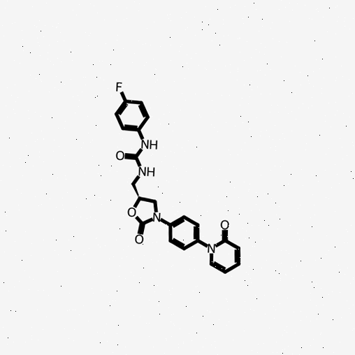 O=C(NC[C@H]1CN(c2ccc(-n3ccccc3=O)cc2)C(=O)O1)Nc1ccc(F)cc1